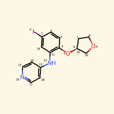 Ic1ccc(O[C@H]2CCOC2)c(Nc2ccncc2)c1